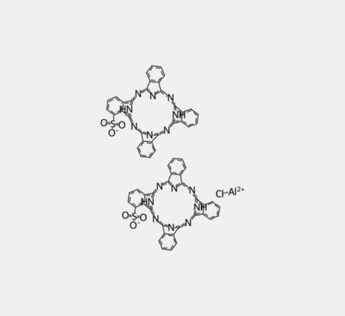 O=S(=O)([O-])c1cccc2c3nc4nc(nc5[nH]c(nc6nc(nc([nH]3)c12)-c1ccccc1-6)c1ccccc51)-c1ccccc1-4.O=S(=O)([O-])c1cccc2c3nc4nc(nc5[nH]c(nc6nc(nc([nH]3)c12)-c1ccccc1-6)c1ccccc51)-c1ccccc1-4.[Al+2][Cl]